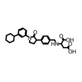 O=C(O)CC(NCc1ccc(C2CCN(c3cccc(C4CCCCC4)c3)C2=O)cc1)C(=O)O